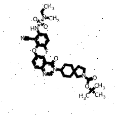 CCN(C)S(=O)(=O)Nc1ccc(F)c(Oc2ccc3ncn(C4CCC5(CC4)CCN(C(=O)OC(C)(C)C)C5)c(=O)c3c2)c1C#N